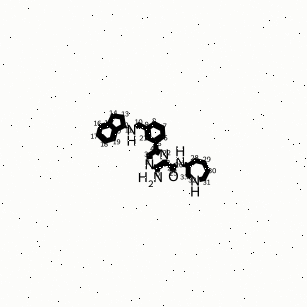 Nc1ncc(-c2cccc(CN[C@H]3CCc4ccccc43)c2)nc1C(=O)NC1CCCCNC1